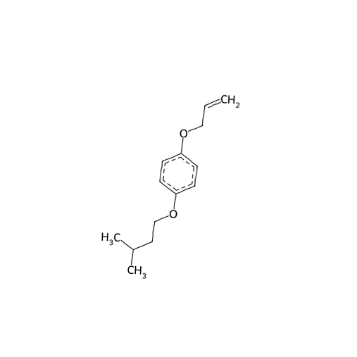 C=CCOc1ccc(OCCC(C)C)cc1